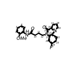 COc1ccccc1NC(=O)CCCn1c(=O)c2cccn2c2ccc(F)cc21